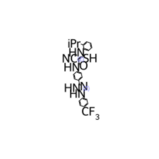 CC(C)c1ccccc1N/C(S)=C(\C#N)C(=O)Nc1ccc(C(=N)/N=C\Nc2ccc(C(F)(F)F)cc2)cc1